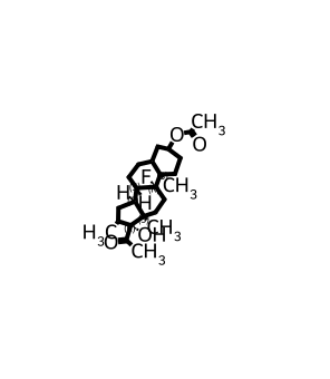 CC(=O)OC1CC[C@@]2(C)C(CC[C@H]3[C@@H]4CC(C)[C@](O)(C(C)=O)[C@@]4(C)CC[C@@]32F)C1